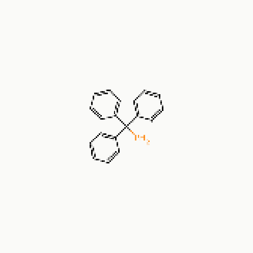 PC(c1[c]cccc1)(c1ccccc1)c1ccccc1